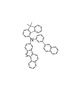 CC1(C)c2ccccc2-c2c(N(c3cccc(-c4ccc5ccccc5c4)c3)c3ccc4sc5c6ccccc6ccc5c4c3)cccc21